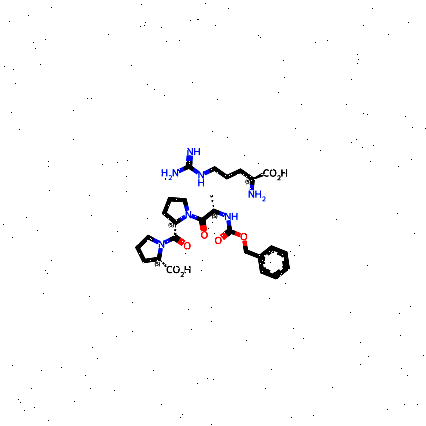 C[C@H](NC(=O)OCc1ccccc1)C(=O)N1CCC[C@H]1C(=O)N1CCC[C@H]1C(=O)O.N=C(N)NCCC[C@H](N)C(=O)O